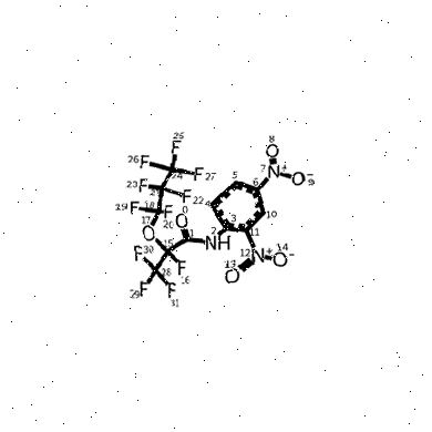 O=C(Nc1ccc([N+](=O)[O-])cc1[N+](=O)[O-])C(F)(OC(F)(F)C(F)(F)C(F)(F)F)C(F)(F)F